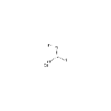 [Ce].[Cl][La]([Cl])[Cl].[Pr]